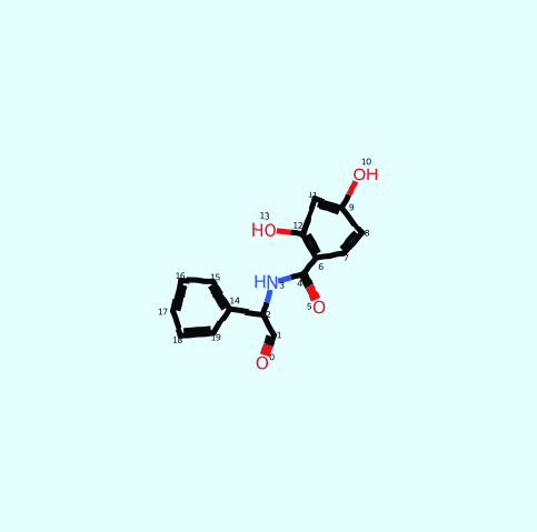 O=[C]C(NC(=O)c1ccc(O)cc1O)c1ccccc1